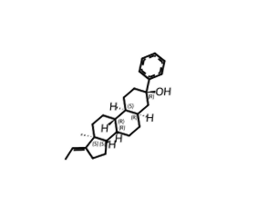 CC=C1CC[C@H]2[C@@H]3CC[C@@H]4C[C@@](O)(c5ccccc5)CC[C@@H]4[C@H]3CC[C@]12C